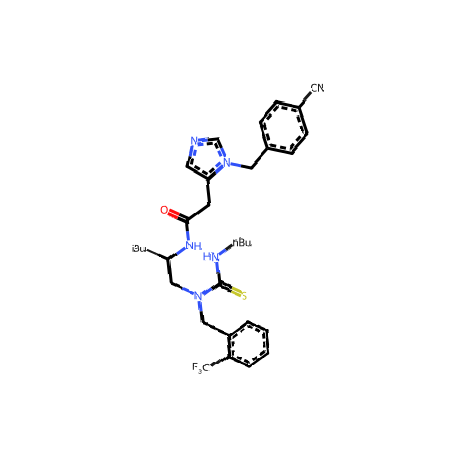 CCCCNC(=S)N(Cc1ccccc1C(F)(F)F)CC(NC(=O)Cc1cncn1Cc1ccc(C#N)cc1)C(C)CC